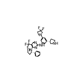 FC1(F)CCN(c2cc(Nc3ncc(C(F)(F)F)c(N4OCC[C@H]4c4ccccc4)n3)cc([C@@H]3CCNC3)c2)C1